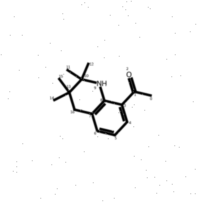 CC(=O)c1cccc2c1NC(C)(C)C(C)(C)C2